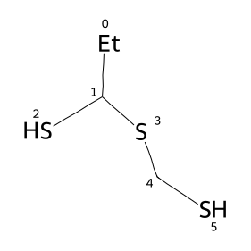 CCC(S)SCS